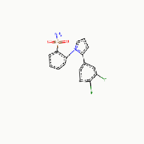 NS(=O)(=O)c1ccccc1-n1cccc1-c1ccc(F)c(F)c1